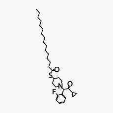 CCCCCCCCCCCCCCCC(=O)SC1CCN(C(C(=O)C2CC2)c2ccccc2F)CC1